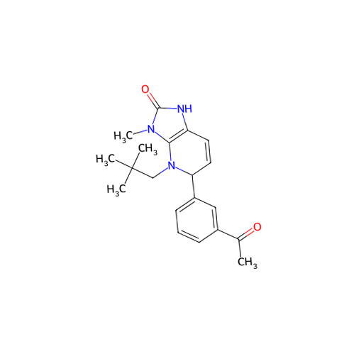 CC(=O)c1cccc(C2C=Cc3[nH]c(=O)n(C)c3N2CC(C)(C)C)c1